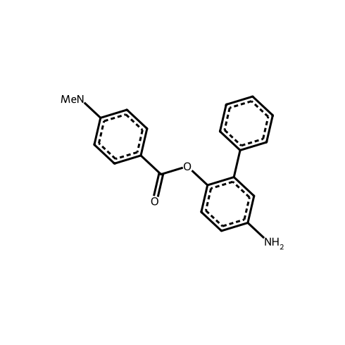 CNc1ccc(C(=O)Oc2ccc(N)cc2-c2ccccc2)cc1